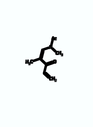 C=CC(=O)/C(C)=C\N(C)C(C)=O